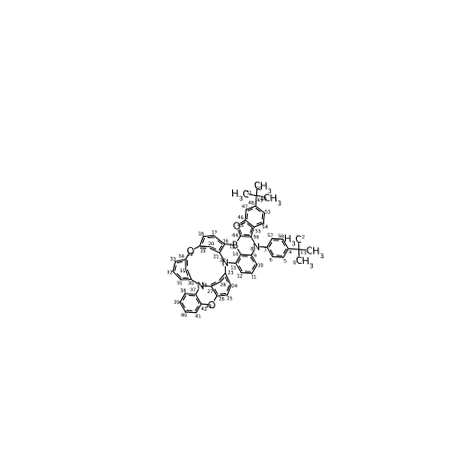 CC(C)(C)c1ccc(N2c3cccc4c3B(c3ccc5cc3N4c3ccc4c(c3)N(c3cccc(c3)O5)c3ccccc3O4)c3oc4cc(C(C)(C)C)ccc4c32)cc1